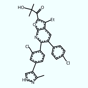 CCc1c(C(=O)C(C)(C)O)oc2nc(-c3ccc(-c4c[nH]nc4C)cc3Cl)c(-c3ccc(Cl)cc3)cc12